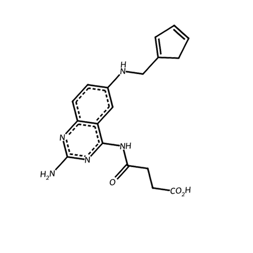 Nc1nc(NC(=O)CCC(=O)O)c2cc(NCC3=CC=CC3)ccc2n1